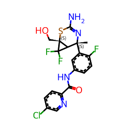 C[C@]1(c2cc(NC(=O)c3ccc(Cl)cn3)ccc2F)N=C(N)S[C@]2(CO)C1C2(F)F